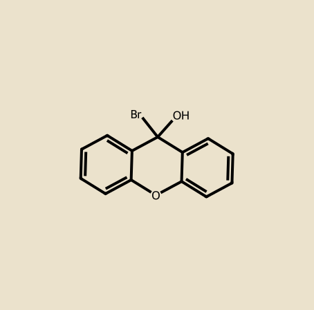 OC1(Br)c2ccccc2Oc2ccccc21